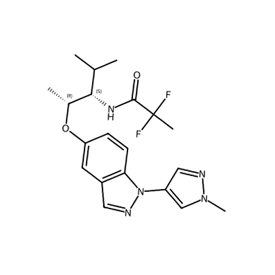 CC(C)[C@H](NC(=O)C(C)(F)F)[C@@H](C)Oc1ccc2c(cnn2-c2cnn(C)c2)c1